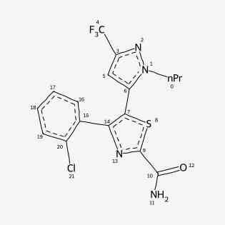 CCCn1nc(C(F)(F)F)cc1-c1sc(C(N)=O)nc1-c1ccccc1Cl